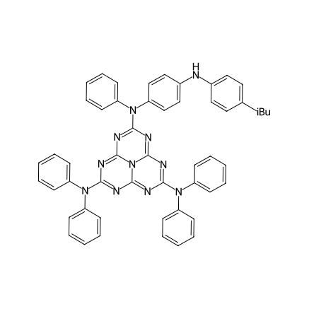 CCC(C)c1ccc(Nc2ccc(N(C3=NC4=NC(N(c5ccccc5)c5ccccc5)=NC5=NC(N(c6ccccc6)c6ccccc6)=NC(=N3)N54)c3ccccc3)cc2)cc1